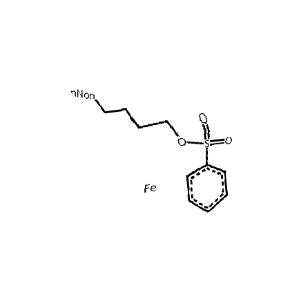 CCCCCCCCCCCCCOS(=O)(=O)c1ccccc1.[Fe]